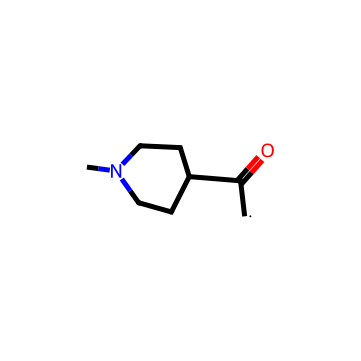 [CH2]C(=O)C1CCN(C)CC1